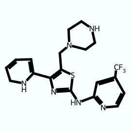 FC(F)(F)c1ccnc(Nc2nc(C3=CC=CCN3)c(CN3CCNCC3)s2)c1